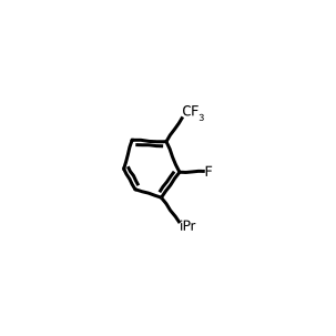 CC(C)c1cccc(C(F)(F)F)c1F